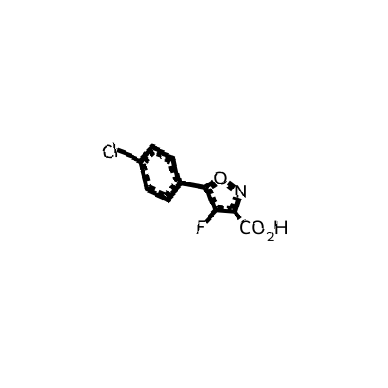 O=C(O)c1noc(-c2ccc(Cl)cc2)c1F